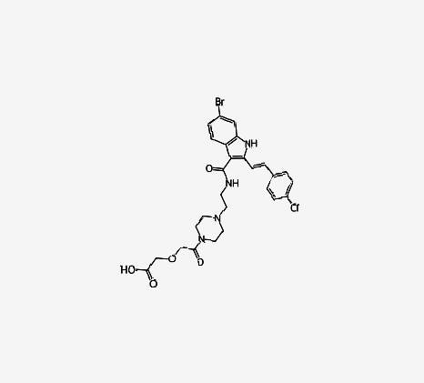 O=C(O)COCC(=O)N1CCN(CCNC(=O)c2c(/C=C/c3ccc(Cl)cc3)[nH]c3cc(Br)ccc23)CC1